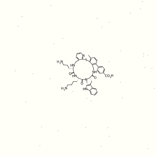 Cc1ccc(-c2ccc(C(=O)O)cc2)c2c1Sc1ncccc1CN[C@@H](CCCN)C(=O)N[C@@H](CCCCN)C(=O)N(C)[C@@H](Cc1c[nH]c3ccccc13)C(=O)NC2